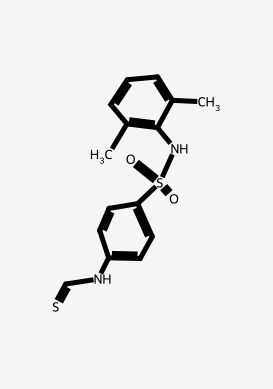 Cc1cccc(C)c1NS(=O)(=O)c1ccc(NC=S)cc1